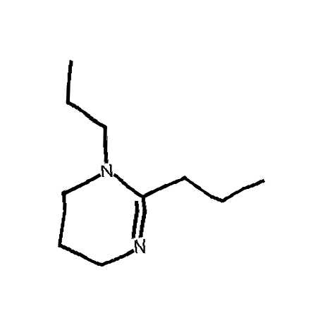 CCCC1=NCCCN1CCC